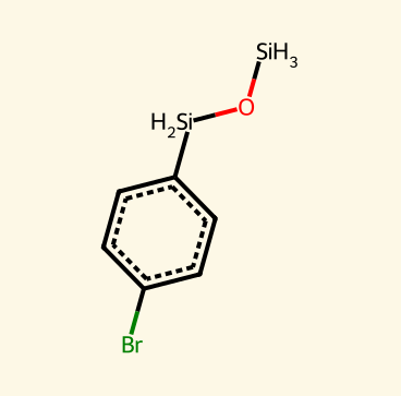 [SiH3]O[SiH2]c1ccc(Br)cc1